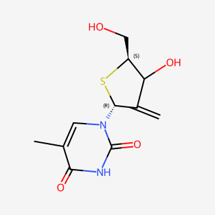 C=C1C(O)[C@H](CO)S[C@H]1n1cc(C)c(=O)[nH]c1=O